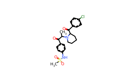 CC(C(=O)c1ccc(NS(C)(=O)=O)cc1)N1CCCCC1C(=O)c1ccc(Cl)cc1